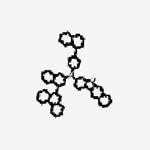 c1ccc2cc3c(cc2c1)oc1cc(N(c2ccc(-c4cccc5ccccc45)cc2)c2cc(-c4cc5ccccc5c5ccccc45)c4ccccc4c2)ccc13